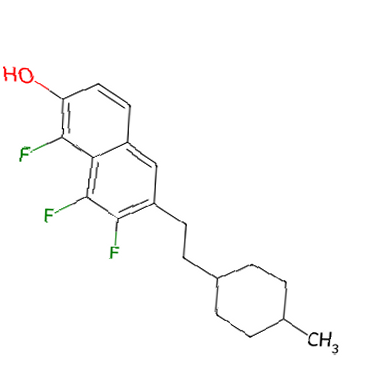 CC1CCC(CCc2cc3ccc(O)c(F)c3c(F)c2F)CC1